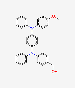 COc1ccc(N(c2ccccc2)c2ccc(N(c3ccccc3)c3ccc(CO)cc3)cc2)cc1